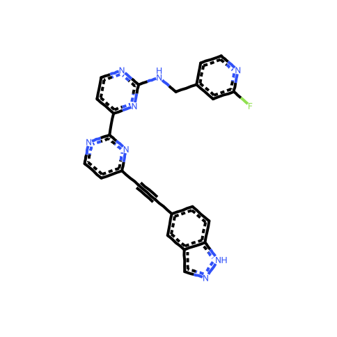 Fc1cc(CNc2nccc(-c3nccc(C#Cc4ccc5[nH]ncc5c4)n3)n2)ccn1